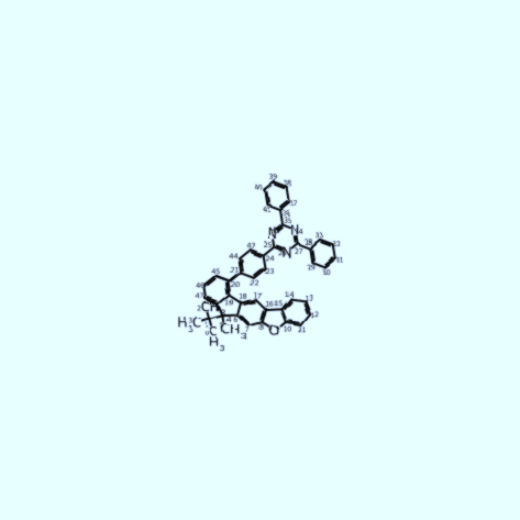 CC(C)(C)C1(C)c2cc3oc4ccccc4c3cc2-c2c(-c3ccc(-c4nc(-c5ccccc5)nc(-c5ccccc5)n4)cc3)cccc21